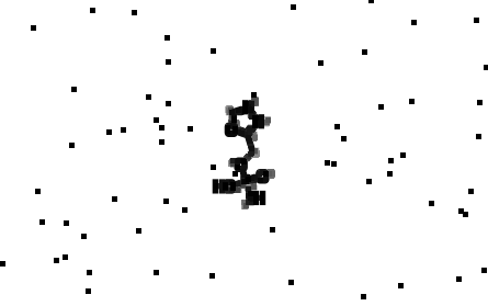 O=P(O)(S)OCc1nnco1